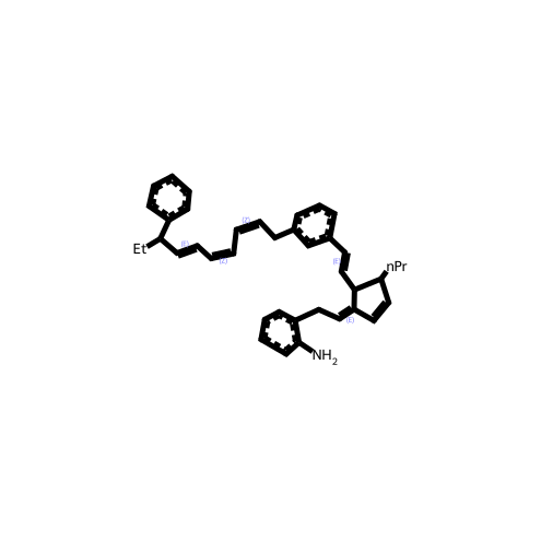 CCCC1C=C/C(=C/Cc2ccccc2N)C1/C=C/c1cccc(C\C=C/C=C\C=C\C(CC)c2ccccc2)c1